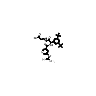 CC(C)(C)c1cc(C(NC(=O)c2cncc(NC(=N)N)c2)C(=O)NCCC(=O)O)cc(C(C)(C)C)c1